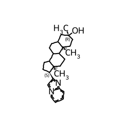 C[C@@]1(O)CC[C@@]2(C)C(CCC3C2CC[C@@]2(C)C3CC[C@@H]2c2cn3ccccc3n2)C1